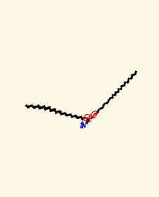 CCCCCCCCCCCCCCCCCCCCCCOC[C@H](CN(C)C)OCCCCCCCCCCCCCCCCCCCCCC